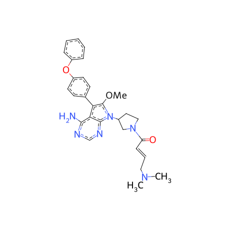 COc1c(-c2ccc(Oc3ccccc3)cc2)c2c(N)ncnc2n1C1CCN(C(=O)C=CCN(C)C)C1